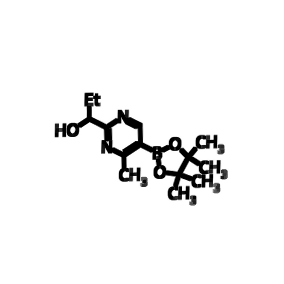 CCC(O)c1ncc(B2OC(C)(C)C(C)(C)O2)c(C)n1